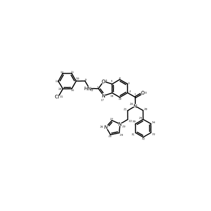 O=C(c1ccc2oc(NCc3cccc(Cl)c3)nc2c1)N(CCn1ccnc1)Cc1ccccc1